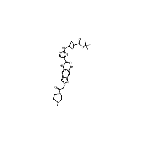 CN1CCN(C(=O)Cn2cc3cc(NC(=O)c4csc(NC5CN(C(=O)OC(C)(C)C)C5)n4)c(Br)cc3n2)CC1